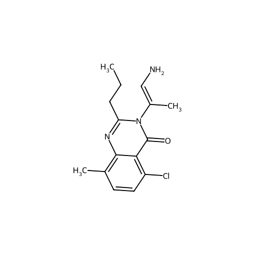 CCCc1nc2c(C)ccc(Cl)c2c(=O)n1/C(C)=C/N